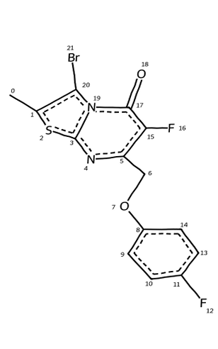 Cc1sc2nc(COc3ccc(F)cc3)c(F)c(=O)n2c1Br